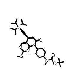 CSc1ncc2c(C#C[Si](C(C)C)(C(C)C)C(C)C)cc(=O)n(C3CCC(N(C)C(=O)OC(C)(C)C)CC3)c2n1